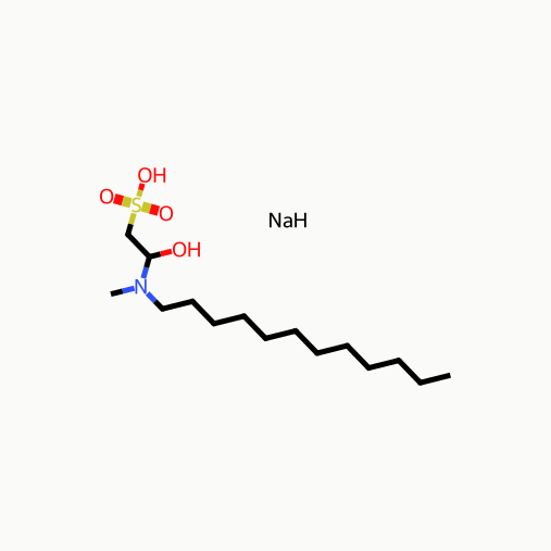 CCCCCCCCCCCCN(C)C(O)CS(=O)(=O)O.[NaH]